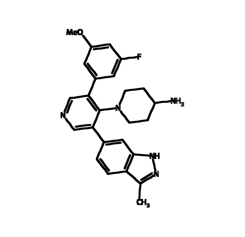 COc1cc(F)cc(-c2cncc(-c3ccc4c(C)n[nH]c4c3)c2N2CCC(N)CC2)c1